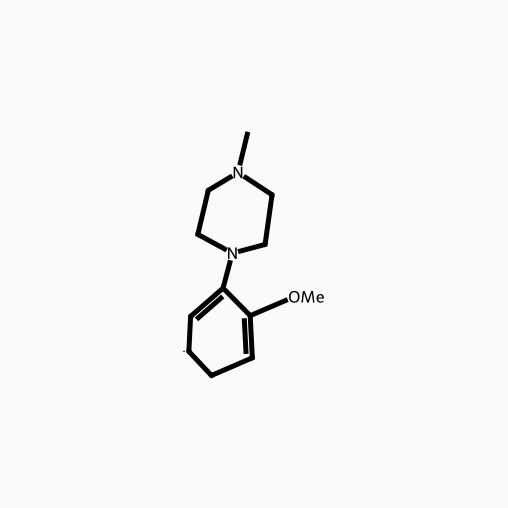 COC1=CC[CH]C=C1N1CCN(C)CC1